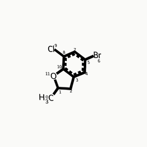 CC1Cc2cc(Br)cc(Cl)c2O1